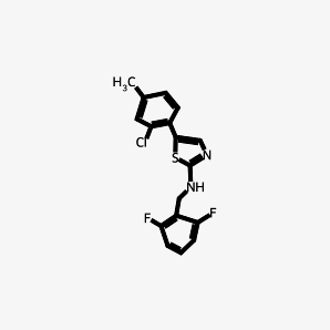 Cc1ccc(-c2cnc(NCc3c(F)cccc3F)s2)c(Cl)c1